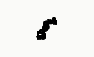 CN(C)C(=O)c1ccc(N2CCC[C@H](N3CC[C@](CCCO[Si](C)(C)C(C)(C)C)(c4ccc(F)cc4)OC3=O)C2)nc1